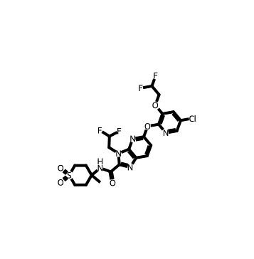 CC1(NC(=O)c2nc3ccc(Oc4ncc(Cl)cc4OCC(F)F)nc3n2CC(F)F)CCS(=O)(=O)CC1